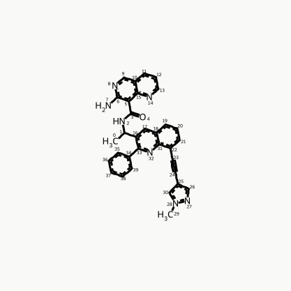 CC(NC(=O)c1c(N)ncc2cccnc12)c1cc2cccc(C#Cc3cnn(C)c3)c2nc1-c1ccccc1